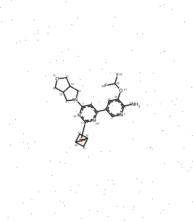 Nc1ncc(-c2cc(N3CC4COCC4C3)nc(N3CC4CC3C4)n2)cc1OC(F)F